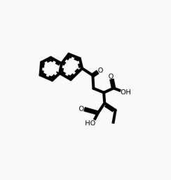 CC=C(C(=O)O)C(CC(=O)c1ccc2ccccc2c1)C(=O)O